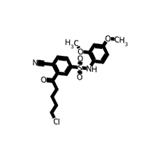 COc1ccc(NS(=O)(=O)c2ccc(C#N)c(C(=O)CCCCCl)c2)c(OC)c1